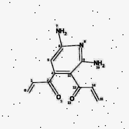 C=CC(=O)c1cc(N)nc(N)c1C(=O)C=C